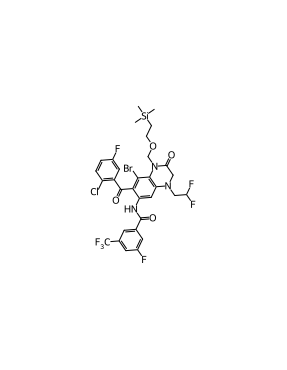 C[Si](C)(C)CCOCN1C(=O)CN(CC(F)F)c2cc(NC(=O)c3cc(F)cc(C(F)(F)F)c3)c(C(=O)c3cc(F)ccc3Cl)c(Br)c21